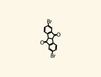 O=C1c2cc(Br)ccc2C2C(=O)c3cc(Br)ccc3C12